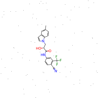 Cc1ccc2c(ccn2C[C@H](O)C(=O)Nc2ccc(C#N)c(C(F)(F)F)c2)c1